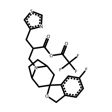 O=C(OC(=O)C(F)(F)F)C(Cc1cscn1)CN1C2CCC1CC1(C2)OCc2ccc(F)cc21